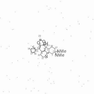 CNC1(NC)CCC(C2(C)C3=C(CCN=C3)C(c3cccs3)=C3O[C@H](C)O[C@@H]32)CC1